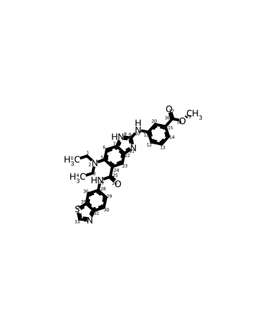 CCN(CC)c1cc2[nH]c(Nc3cccc(C(=O)OC)c3)nc2cc1C(=O)Nc1ccc2ncsc2c1